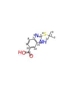 CC(C)(C)Sc1nc2ccc(C(=O)O)cc2[nH]1